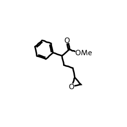 COC(=O)C(CCC1CO1)c1ccccc1